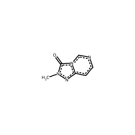 Cn1nc2ccncn2c1=O